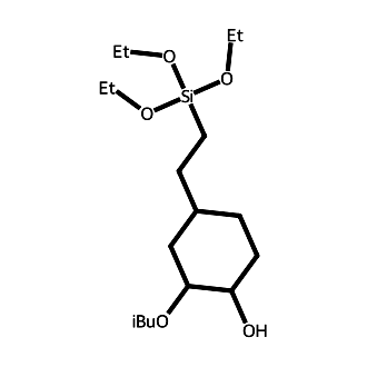 CCO[Si](CCC1CCC(O)C(OCC(C)C)C1)(OCC)OCC